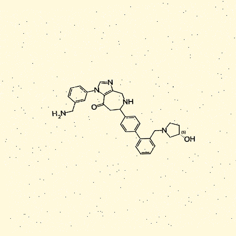 NCc1cccc(-n2cnc3c2C(=O)CC(c2ccc(-c4ccccc4CN4CC[C@H](O)C4)cc2)NC3)c1